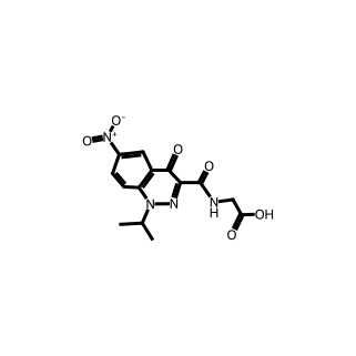 CC(C)n1nc(C(=O)NCC(=O)O)c(=O)c2cc([N+](=O)[O-])ccc21